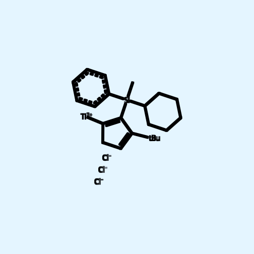 CC(C)(C)C1=CC[C]([Ti+3])=C1[Si](C)(c1ccccc1)C1CCCCC1.[Cl-].[Cl-].[Cl-]